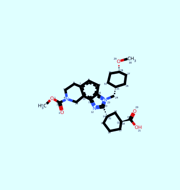 COC(=O)N1CCc2ccc3c(nc([C@H]4CCC[C@H](C(=O)O)C4)n3C[C@H]3CC[C@@H](OC)CC3)c2C1